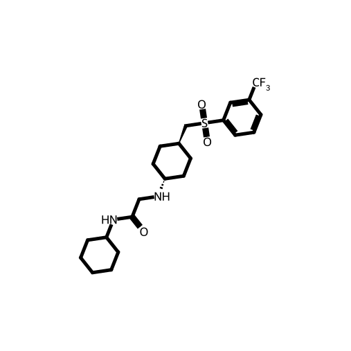 O=C(CN[C@H]1CC[C@H](CS(=O)(=O)c2cccc(C(F)(F)F)c2)CC1)NC1CCCCC1